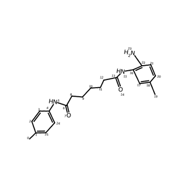 Cc1ccc(NC(=O)CCCCCC(=O)Nc2cc(C)ccc2N)cc1